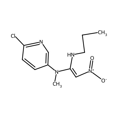 CCCNC(=C[N+](=O)[O-])N(C)c1ccc(Cl)nc1